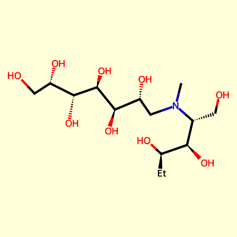 CC[C@@H](O)[C@H](O)[C@@H](CO)N(C)C[C@@H](O)[C@@H](O)[C@H](O)[C@H](O)[C@@H](O)CO